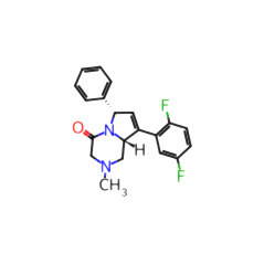 CN1CC(=O)N2[C@@H](C1)C(c1cc(F)ccc1F)=C[C@H]2c1ccccc1